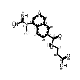 N=C(N)N(Cl)c1cncc2cc(C(=O)NCCC(=O)O)ccc12